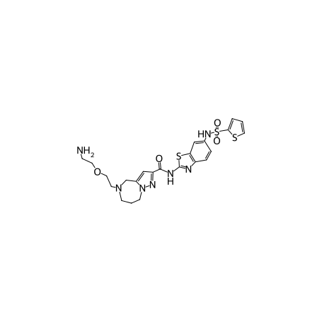 NCCOCCN1CCCn2nc(C(=O)Nc3nc4ccc(NS(=O)(=O)c5cccs5)cc4s3)cc2C1